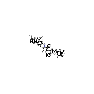 COc1cc(/C=C2\CCCN([C@@H]3CN(Cc4ccc(F)c(F)c4)C[C@H]3O)C2=O)ccc1-n1cnc(C)c1